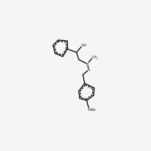 COc1ccc(C[N]N(C)CC(O)c2ccccc2)cc1